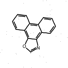 [c]1nc2c3ccccc3c3ccccc3c2o1